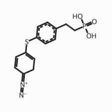 [N-]=[N+]=C1C=CC(Sc2ccc(CCP(=O)(O)O)cc2)=CC1